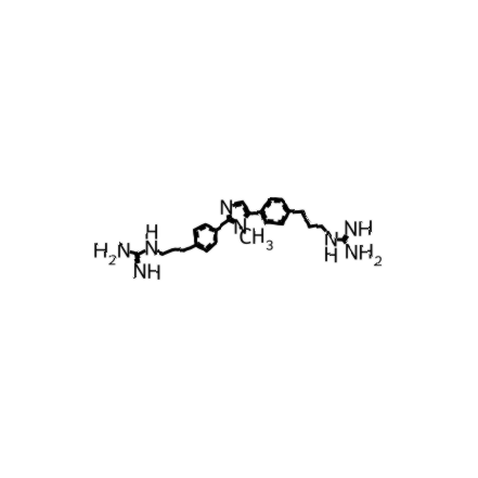 Cn1c(-c2ccc(CCCNC(=N)N)cc2)cnc1-c1ccc(CCCNC(=N)N)cc1